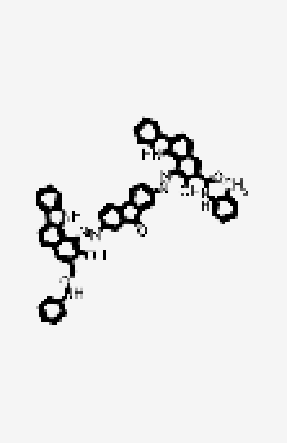 Cc1ccccc1NC(=O)c1cc2ccc3c4ccccc4[nH]c3c2c(N=Nc2ccc3c(c2)C(=O)c2cc(N=Nc4c(O)c(CONc5ccccc5)cc5ccc6c7ccccc7[nH]c6c45)ccc2-3)c1O